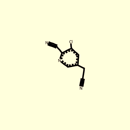 N#CCc1cnc(C#N)c(Cl)c1